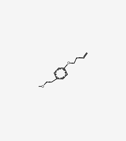 C=CCCOc1ccc(CCOC)cc1